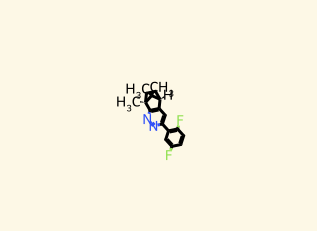 CC1(C)[C@H]2CC[C@]1(C)c1nnc(-c3cc(F)ccc3F)cc12